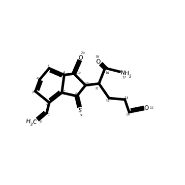 C=Cc1cccc2c1C(=S)C(C(CCC=O)C(N)=O)C2=O